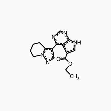 CCOC(=O)c1c[nH]c2ncnc(-c3cnn4c3CCCC4)c12